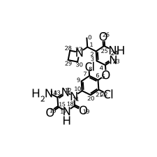 CC(c1cc(Oc2c(Cl)cc(-n3nc(N)c(=O)[nH]c3=O)cc2Cl)n[nH]c1=O)N1CCC1